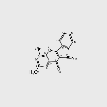 Cc1cc(Br)c2oc(-c3ccccc3)c(C#N)c(=O)c2c1